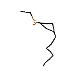 CCCCC1CC1SCC